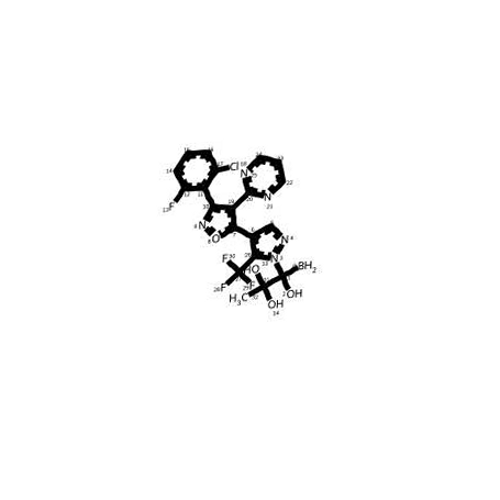 BC(O)(n1ncc(-c2onc(-c3c(F)cccc3Cl)c2-c2ncccn2)c1C(F)(F)F)C(C)(O)O